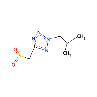 CC(C)Cn1nnc(C[SH](=O)=O)n1